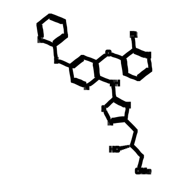 CCc1ncccc1Oc1cc(Sc2ccccn2)cnc1Nc1nc(C[C@@H](O)COC)ns1